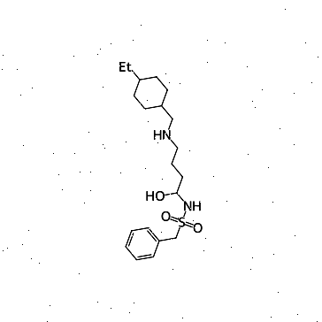 CCC1CCC(CNCCCC(O)NS(=O)(=O)Cc2ccccc2)CC1